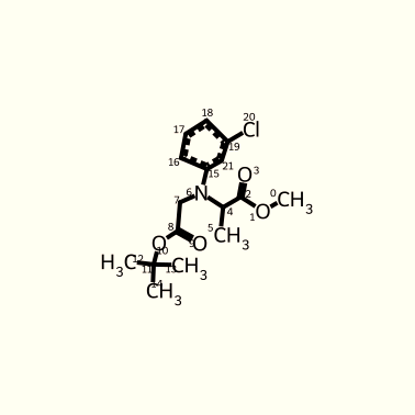 COC(=O)C(C)N(CC(=O)OC(C)(C)C)c1cccc(Cl)c1